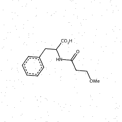 COCCC(=O)NC(Cc1ccccc1)C(=O)O